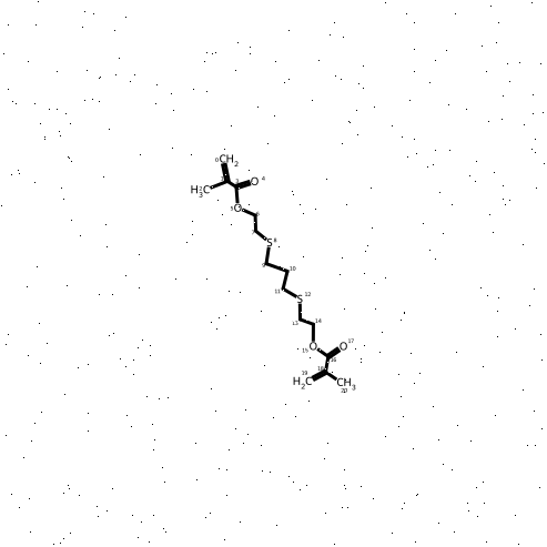 C=C(C)C(=O)OCCSCCCSCCOC(=O)C(=C)C